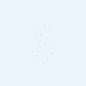 Brc1cccc2c1-c1ccccc1C2(c1ccccc1)c1ccc(-c2cccc3c2oc2ccccc23)cc1